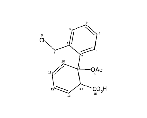 CC(=O)OC1(c2ccccc2CCl)C=CC=CC1C(=O)O